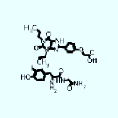 CCCn1c(=O)c2[nH]c(-c3ccc(OCC(=O)O)cc3)nc2n(CCC)c1=O.NC(=O)CNC(=O)[C@@H](N)Cc1ccc(O)c(I)c1